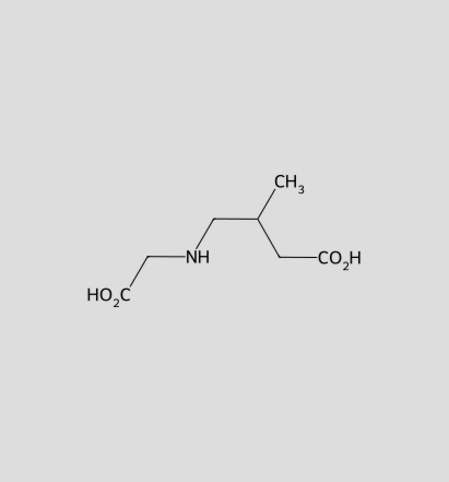 CC(CNCC(=O)O)CC(=O)O